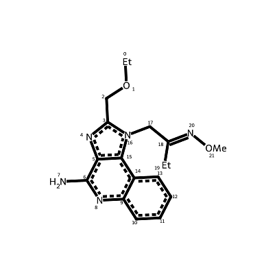 CCOCc1nc2c(N)nc3ccccc3c2n1C/C(CC)=N/OC